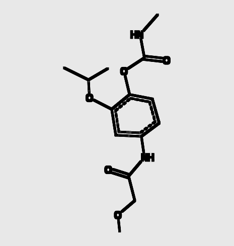 CNC(=O)Oc1ccc(NC(=O)COC)cc1OC(C)C